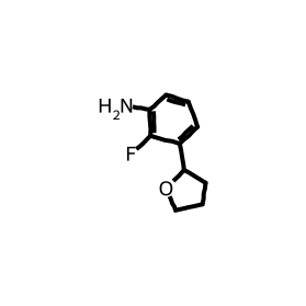 Nc1cccc(C2CCCO2)c1F